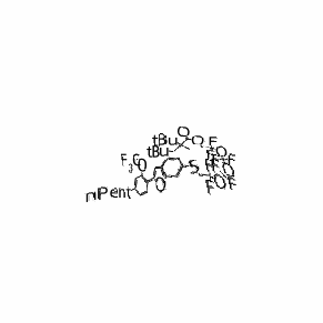 CCCCCc1ccc(-c2cc3ccc(SCC(F)(F)OC(F)(F)OC(F)(F)OC(F)(F)COC(=O)C(C)(CC(C)(C)C)C(C)(C)C)cc3o2)c(OC(F)(F)F)c1